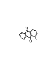 Cc1cccc2[nH]c3ccccc3c(=O)c12